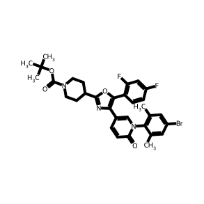 Cc1cc(Br)cc(C)c1-n1cc(-c2nc(C3CCN(C(=O)OC(C)(C)C)CC3)oc2-c2ccc(F)cc2F)ccc1=O